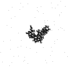 C=CCNC(=O)C(=O)C(CCC)NC(=O)[C@@H]1CCCN1C(=O)[C@@H](NC(=O)N[C@H](CN(C)S(=O)(=O)N1CCCCC1)C(C)(C)C)C(C)(C)C